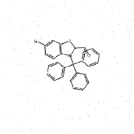 O=CC1Oc2cc(Br)ccc2N1C(c1ccccc1)(c1ccccc1)c1ccccc1